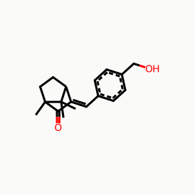 CC12CCC(C(=Cc3ccc(CO)cc3)C1=O)C2(C)C